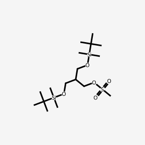 CC(C)(C)[Si](C)(C)OCC(CO[Si](C)(C)C(C)(C)C)COS(C)(=O)=O